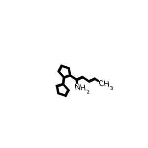 CCCCC(N)C1CCCC1C1CCCC1